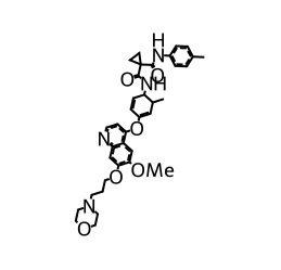 COc1cc2c(OC3=CC(C)C(NC(=O)C4(C(=O)Nc5ccc(C)cc5)CC4)C=C3)ccnc2cc1OCCCN1CCOCC1